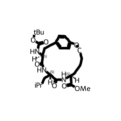 COC(=O)[C@@H]1CCCCOc2ccc(cc2)C[C@H](NC(=O)OC(C)(C)C)C(=O)N[C@@H](CC(C)C)C(=O)N1